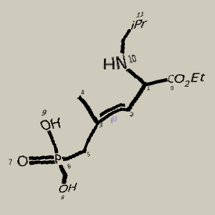 CCOC(=O)C(/C=C(\C)CP(=O)(O)O)NC(C)C